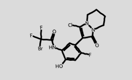 O=C(Nc1cc(-c2c(Cl)n3n(c2=O)CCCC3)c(F)cc1O)C(F)(F)Br